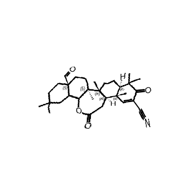 CC1(C)CC[C@]2(C=O)CC[C@]3(C)C(OC(=O)C[C@@H]4[C@@]5(C)C=C(C#N)C(=O)C(C)(C)[C@@H]5CC[C@]43C)C2C1